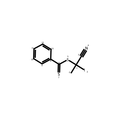 CC(I)(C#N)SC(=S)c1ccccc1